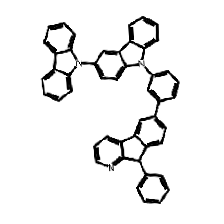 c1ccc(C2c3ccc(-c4cccc(-n5c6ccccc6c6cc(-n7c8ccccc8c8ccccc87)ccc65)c4)cc3-c3cccnc32)cc1